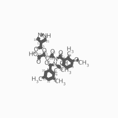 COc1cccc(C(=O)N(C(=O)OC(OC(=O)c2cn[nH]c2)C(=O)O)N(C(=O)c2cc(C)cc(C)c2)C(C)(C)C)c1C